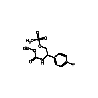 CC(C)(C)OC(=O)NC(COS(C)(=O)=O)c1ccc(F)cc1